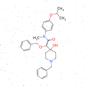 CC(C)Oc1ccc(N(C)C(=O)C(OCc2ccccc2)C2(O)CCN(Cc3ccccc3)CC2)cc1